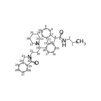 CCCNC(=O)C1c2ccccc2-c2c1cccc2C(CCN1Cc2ccccc2C1=O)N1CCCCC1